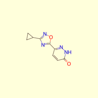 O=c1ccc(-c2nc(C3CC3)no2)n[nH]1